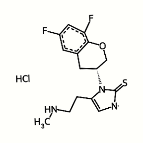 CNCCC1=C[N]C(=S)N1[C@H]1COc2c(F)cc(F)cc2C1.Cl